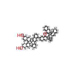 Oc1ccc2cc(C3(c4ccc5cc(O)ccc5c4)c4ccccc4-c4cc5c(-c6ccc7ccc8c(c7c6)Oc6c(ccc7ccccc67)C86c7ccccc7-c7cc8ccccc8cc76)cccc5cc43)ccc2c1